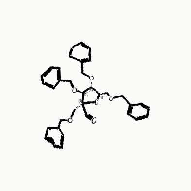 O=C[C@]1(COCc2ccccc2)O[C@H](COCc2ccccc2)[C@@H](OCc2ccccc2)[C@@H]1OCc1ccccc1